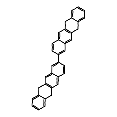 c1ccc2c(c1)Cc1cc3ccc(-c4ccc5cc6c(cc5c4)Cc4ccccc4C6)cc3cc1C2